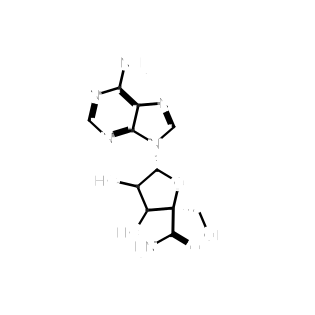 NC(=O)[C@]1(CO)O[C@@H](n2cnc3c(N)ncnc32)C(O)C1O